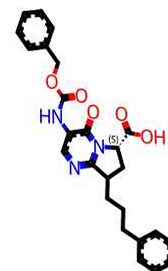 O=C(Nc1cnc2n(c1=O)[C@H](C(=O)O)CC2CCCc1ccccc1)OCc1ccccc1